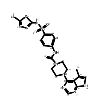 CCc1nnc(NS(=O)(=O)c2ccc(NC(=S)N3CCN(c4ncnc5[nH]cc(I)c45)CC3)cc2)s1